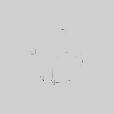 Clc1cccnc1Cl.[Ni]